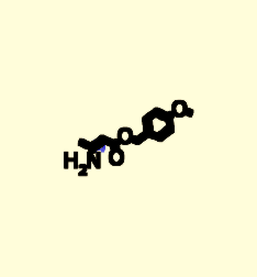 COc1ccc(COC(=O)/C=C(/C)N)cc1